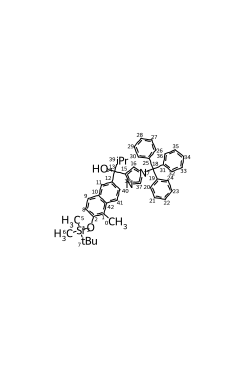 Cc1c(O[Si](C)(C)C(C)(C)C)ccc2cc(C(O)(c3cn(C(c4ccccc4)(c4ccccc4)c4ccccc4)cn3)C(C)C)ccc12